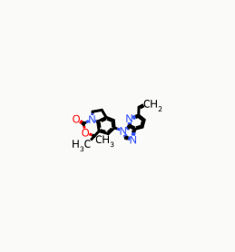 C=Cc1ccc2ncn(-c3cc4c5c(c3)C(C)(C)OC(=O)N5CC4)c2n1